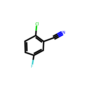 N#Cc1cc(F)ccc1Cl